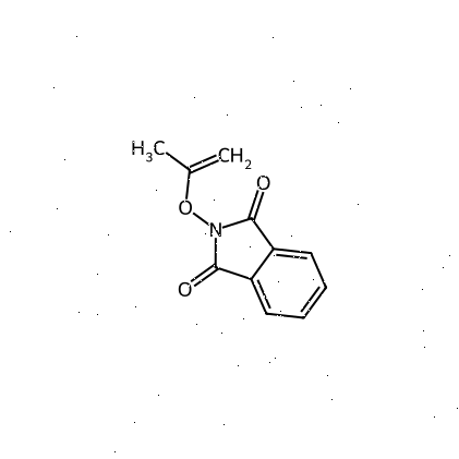 C=C(C)ON1C(=O)c2ccccc2C1=O